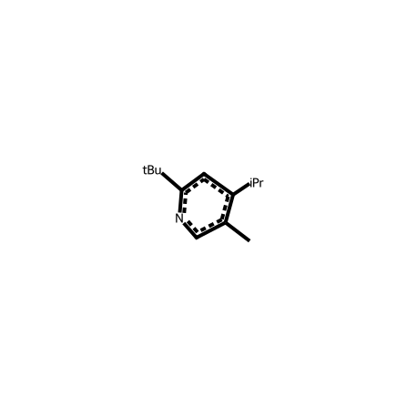 Cc1cnc(C(C)(C)C)cc1C(C)C